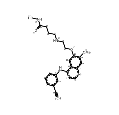 C#Cc1cccc(Nc2ncnc3cc(OC)c(OCCNCCCC(=O)NO)cc23)c1